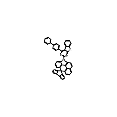 c1ccc(-c2ccc(-c3nc(-n4c5cccc6c5c5c7c(cccc7ccc54)C64c5ccccc5-c5ccccc54)nc4sc5ccccc5c34)cc2)cc1